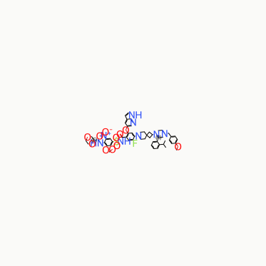 COc1ccc(CN2CCN(C3CC4(CCN(c5cc(Oc6cnc7[nH]ccc7c6)c(C(=O)NS(=O)(=O)c6cc([N+](=O)[O-])c(NC[C@H]7COCCO7)c7c6OCO7)cc5F)CC4)C3)[C@H](c3ccccc3C(C)C)C2)cc1